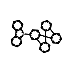 c1ccc2c(c1)-c1ccccc1C21c2ccccc2-c2cc(-n3c4ccccc4c4ccccc43)ccc21